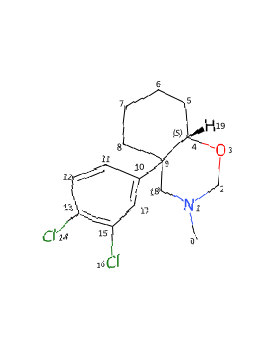 CN1CO[C@H]2CCCCC2(c2ccc(Cl)c(Cl)c2)C1